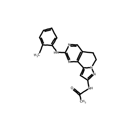 CC(=O)Nc1cc2n(n1)CCc1cnc(Nc3ccccc3C)nc1-2